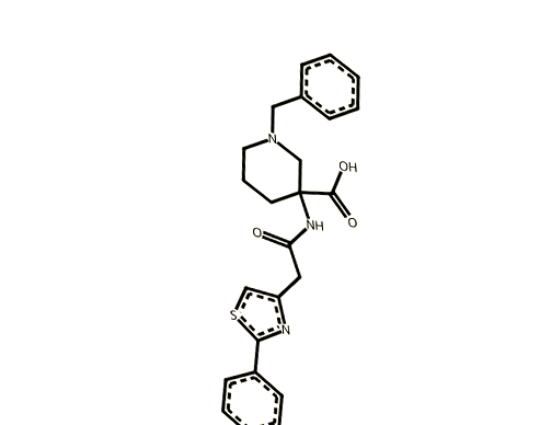 O=C(Cc1csc(-c2ccccc2)n1)NC1(C(=O)O)CCCN(Cc2ccccc2)C1